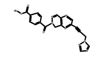 CC(C)(C)OC(=O)c1ccc(C(=O)N2Cc3nc(C#CCn4cncn4)cnc3C=N2)cc1